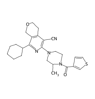 CC1CN(c2nc(C3CCCCC3)c3c(c2C#N)CCOC3)CCN1C(=O)c1ccsc1